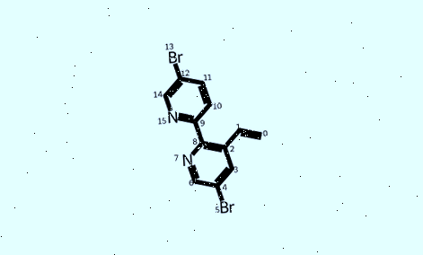 C=Cc1cc(Br)cnc1-c1ccc(Br)cn1